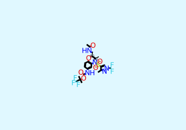 CC(=O)NC[C@@H]1Oc2ccc(NC(=O)OC(C)(C)C(F)(F)F)cc2N(S(=O)(=O)c2cn(C(F)F)nc2C)[C@@H]1C